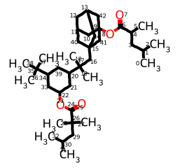 CC(C)CC(C)C(=O)OC12CC3CC(CC(CC(C)(C)C4CC(OC(=O)C(C)(C)CC(C)C)CC(C(C)(C)C)C4)(C3)C1)C2